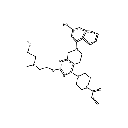 C=CC(=O)N1CCN(c2nc(OCCN(C)CCOC)nc3c2CCN(c2cc(O)cc4ccccc24)C3)CC1